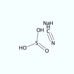 C#N.O=S(O)O.[NaH]